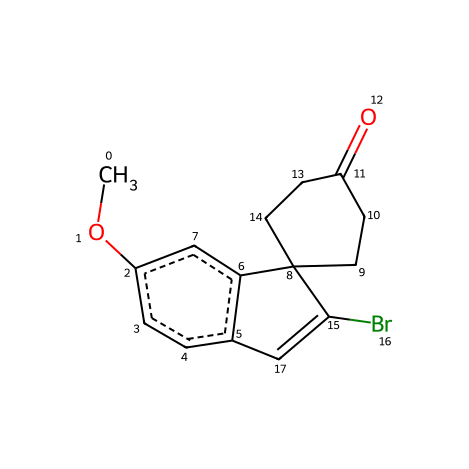 COc1ccc2c(c1)C1(CCC(=O)CC1)C(Br)=C2